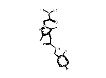 CCN(CC)C(=O)Cn1nc(C)c(CC(=O)NCc2ccc(F)cc2Cl)c1C